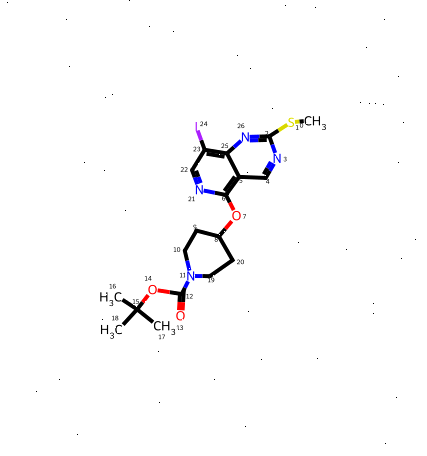 CSc1ncc2c(OC3CCN(C(=O)OC(C)(C)C)CC3)ncc(I)c2n1